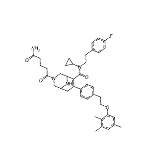 Cc1cc(C)c(C)c(OCCc2ccc(C3=C(C(=O)N(CCc4ccc(F)cc4)C4CC4)C4CN(C(=O)CCCC(N)=O)CC(C3)N4)cc2)c1